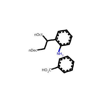 CCCCCCCCCCCC(CCCCCCCC)c1ccccc1N.O=C(O)c1ccccc1